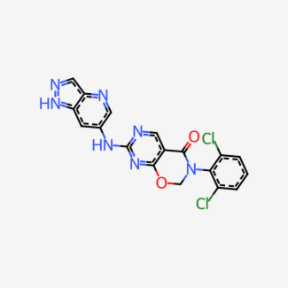 O=C1c2cnc(Nc3cnc4cn[nH]c4c3)nc2OCN1c1c(Cl)cccc1Cl